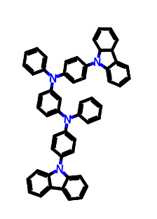 C1=CC2c3ccccc3N(c3ccc(N(c4ccccc4)c4cccc(N(c5ccccc5)c5ccc(-n6c7ccccc7c7ccccc76)cc5)c4)cc3)C2C=C1